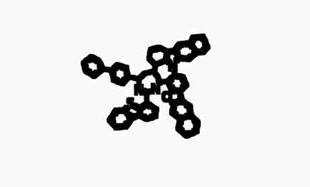 C1=Cc2c3n(c4cc5ccccc5cc24)-c2ccc4c(oc5cc6ccccc6cc54)c2C2=NC(c4cccc5c4sc4ccccc45)=NC(c4ccc(-c5ccccc5)cc4)CC2C3C1